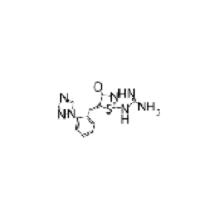 N=C(N)NC1=NC(=O)C(=Cc2ccccc2-n2cncn2)S1